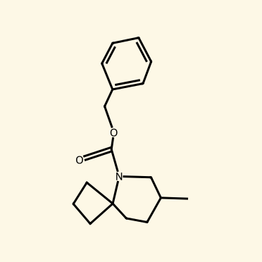 CC1CCC2(CCC2)N(C(=O)OCc2ccccc2)C1